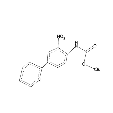 CC(C)(C)OC(=O)Nc1ccc(-c2ccccn2)cc1[N+](=O)[O-]